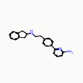 Nc1cccc(-c2ccc(CCNC3Cc4ccccc4C3)cc2)n1